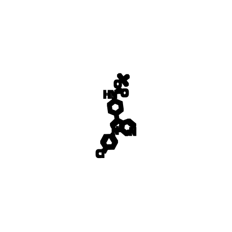 CC(C)(C)OC(=O)NC1CCC(c2cn(-c3ccc(Cl)cc3)c3cnccc23)CC1